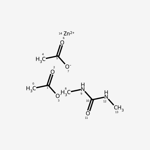 CC(=O)[O-].CC(=O)[O-].CNC(=O)NC.[Zn+2]